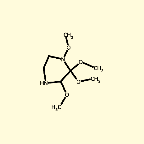 COC1NCCN(OC)C1(OC)OC